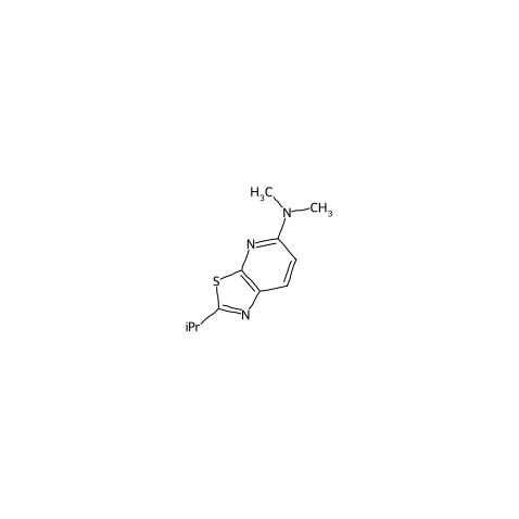 CC(C)c1nc2ccc(N(C)C)nc2s1